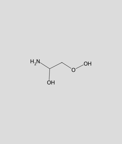 NC(O)COO